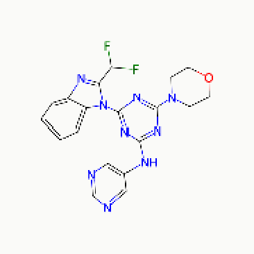 FC(F)c1nc2ccccc2n1-c1nc(Nc2cncnc2)nc(N2CCOCC2)n1